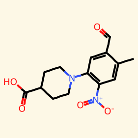 Cc1cc([N+](=O)[O-])c(N2CCC(C(=O)O)CC2)cc1C=O